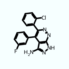 Nc1n[nH]c2nnc(-c3ccccc3Cl)c(-c3cccc(F)c3)c12